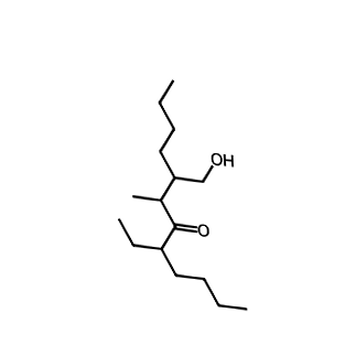 CCCCC(CC)C(=O)C(C)C(CO)CCCC